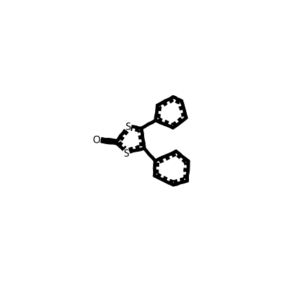 O=c1sc(-c2ccccc2)c(-c2ccccc2)s1